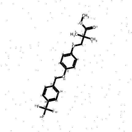 COC(=O)C(C)(C)COc1ccc(OCc2ccc(C(F)(F)F)cc2)cc1